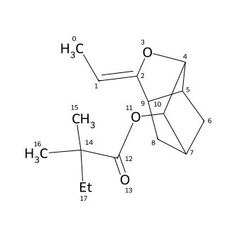 CC=C1OC2C3CC(CC13)C2OC(=O)C(C)(C)CC